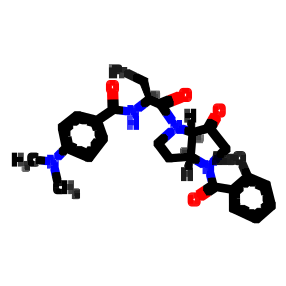 COc1ccccc1C(=O)N1CC(=O)[C@@H]2[C@H]1CCN2C(=O)[C@H](CC(C)C)NC(=O)c1ccc(N(C)C)cc1